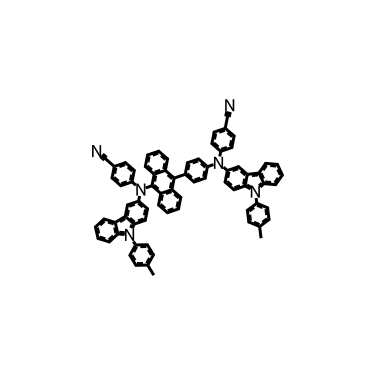 Cc1ccc(-n2c3ccccc3c3cc(N(c4ccc(C#N)cc4)c4ccc(-c5c6ccccc6c(N(c6ccc(C#N)cc6)c6ccc7c(c6)c6ccccc6n7-c6ccc(C)cc6)c6ccccc56)cc4)ccc32)cc1